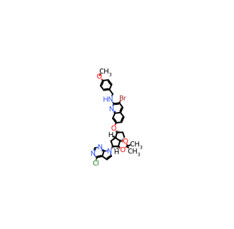 COc1ccc(CNc2nc3cc(O[C@H]4CC[C@]56OC(C)(C)O[C@H]5[C@H](n5ccc7c(Cl)ncnc75)C[C@H]46)ccc3cc2Br)cc1